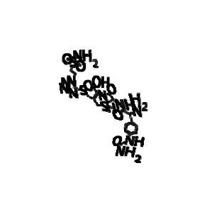 NC(=O)Nc1ccc(C(N)C(=O)NC2C(=O)N3C(C(=O)O)=C(CSc4nnnn4CCS(N)(=O)=O)CS[C@H]23)cc1